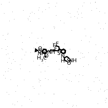 COc1cc(S(=N)(=O)C2CC2)ccc1NCC#Cc1sc2c(NC3CCS(=N)(=O)CC3)cccc2c1CC(F)(F)F